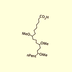 CCCCCC(CCC(CCCC(CCCCCCC(=O)O)OC)OC)OC